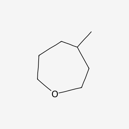 CC1CCCOCC1